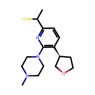 CC(S)c1ccc([C@H]2CCOC2)c(N2CCN(C)CC2)n1